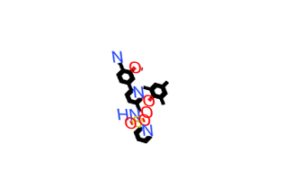 COc1cc(-c2ccc(C(=O)NS(=O)(=O)c3ccccn3)c(Oc3c(C)cc(C)cc3C)n2)ccc1C#N